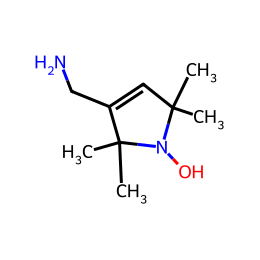 CC1(C)C=C(CN)C(C)(C)N1O